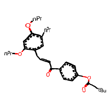 CCCOc1cc(OCCC)c(CCC)cc1C=CC(=O)c1ccc(OC(=O)C(C)(C)C)cc1